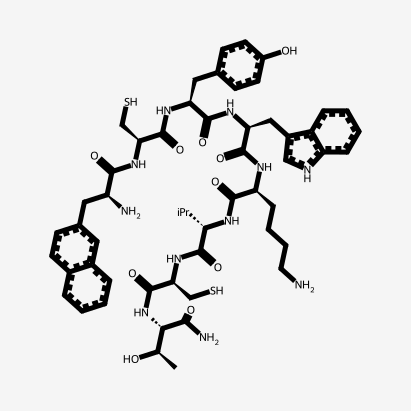 CC(C)[C@H](NC(=O)[C@H](CCCCN)NC(=O)[C@H](Cc1c[nH]c2ccccc12)NC(=O)[C@H](Cc1ccc(O)cc1)NC(=O)[C@H](CS)NC(=O)[C@@H](N)Cc1ccc2ccccc2c1)C(=O)N[C@@H](CS)C(=O)N[C@H](C(N)=O)[C@@H](C)O